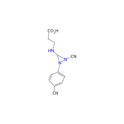 N#Cc1ccc(N2C(NCCC(=O)O)N2C#N)cc1